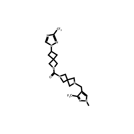 Cn1cc(CN2CC3(C2)CN(C(=O)N2CC4(CC(n5cnc(C(F)(F)F)n5)C4)C2)C3)c(C(F)(F)F)n1